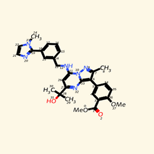 COC(=O)c1cc(-c2c(C)nn3c(NCc4cccc(-c5nccn5C)c4)cc(C(C)(C)O)nc23)ccc1OC